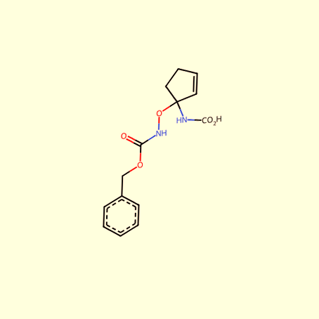 O=C(O)NC1(ONC(=O)OCc2ccccc2)C=CCC1